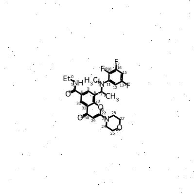 CCNC(=O)c1cc(C(C)N(C)c2cc(F)cc(F)c2F)c2oc(N3CCOCC3)cc(=O)c2c1